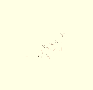 CCN1CCN(c2nc3c(cc2Cl)c(=O)c(OC(=O)O)cn3C2CC2)CC1